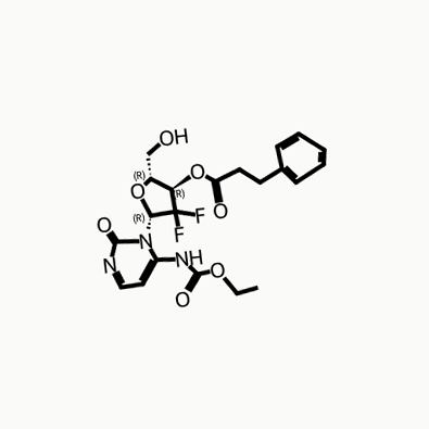 CCOC(=O)Nc1ccnc(=O)n1[C@@H]1O[C@H](CO)[C@@H](OC(=O)CCc2ccccc2)C1(F)F